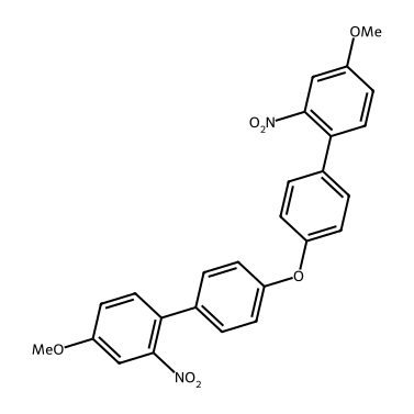 COc1ccc(-c2ccc(Oc3ccc(-c4ccc(OC)cc4[N+](=O)[O-])cc3)cc2)c([N+](=O)[O-])c1